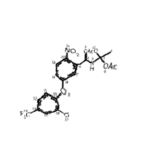 CC(=O)OC(C)(NC(=O)c1cc(Oc2ccc(C(F)(F)F)cc2Cl)ccc1[N+](=O)[O-])OC(C)=O